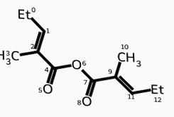 CC/C=C(\C)C(=O)OC(=O)/C(C)=C/CC